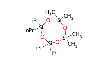 [CH2]CC[Si]1(C(C)C)O[Si](C)(C)O[Si](C)(C)O[Si](C(C)C)(C(C)C)O1